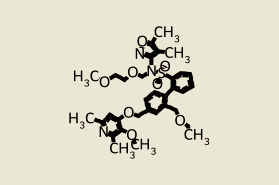 CCOCc1cc(COc2cc(C)nc(C)c2OC)ccc1-c1ccccc1S(=O)(=O)N(COCCOC)c1noc(C)c1C